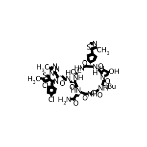 Cc1ncsc1C1=CCC([C@@H]2NC(=O)[C@@H]3C[C@@H](O)CN3C(=O)[C@H](C(C)(C)C)NC(=O)CNC(=O)[C@H](CCC(N)=O)NC(=O)[C@@H](CNC(=O)C[C@@H]3N=C(c4ccc(Cl)cc4)c4c(sc(C)c4C)-n4c(C)nnc43)NC(=O)CNC2=O)C=C1